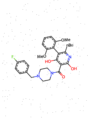 CCCCc1nc(O)c(C(=O)N2CCN(Cc3ccc(F)cc3)CC2)c(O)c1-c1c(OC)cccc1OC